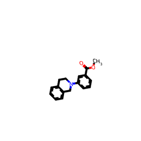 COC(=O)c1cccc(N2CCc3ccccc3C2)c1